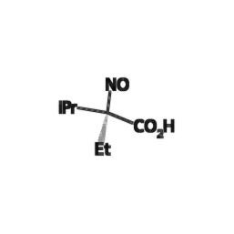 CC[C@](N=O)(C(=O)O)C(C)C